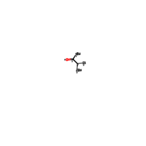 CCCCC(CC)C(=O)C(C)(C)C